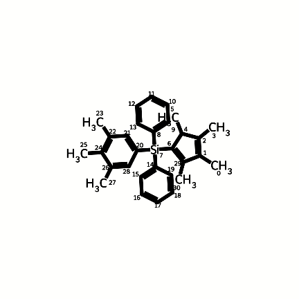 CC1=C(C)C(C)C([Si](c2ccccc2)(c2ccccc2)c2cc(C)c(C)c(C)c2)=C1C